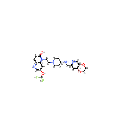 O=c1ccc2ncc(OC(F)F)cc2n1CCN1CCC(NCc2cc3c(cn2)OCCO3)CC1